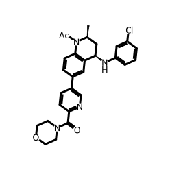 CC(=O)N1c2ccc(-c3ccc(C(=O)N4CCOCC4)nc3)cc2[C@H](Nc2cccc(Cl)c2)C[C@@H]1C